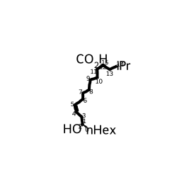 CCCCCC[C@@H](O)C/C=C\CCCCCCC(CC(C)C)C(=O)O